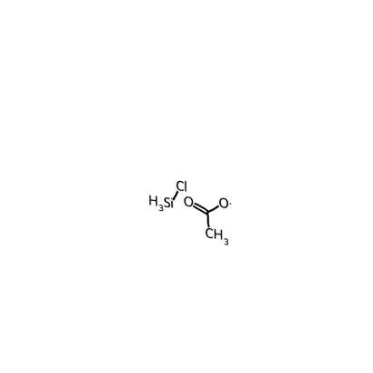 CC([O])=O.[SiH3]Cl